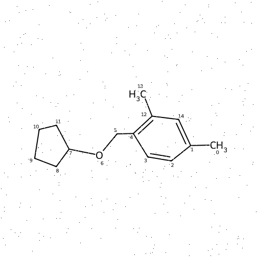 Cc1ccc(COC2CCCC2)c(C)c1